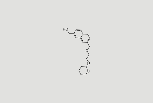 OCc1ccc2ccc(COCCOC3CCCCO3)cc2c1